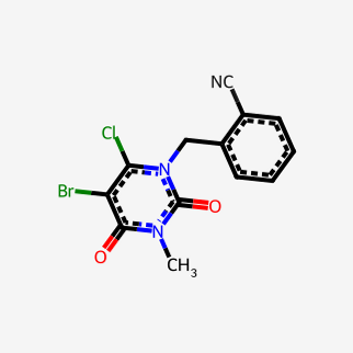 Cn1c(=O)c(Br)c(Cl)n(Cc2ccccc2C#N)c1=O